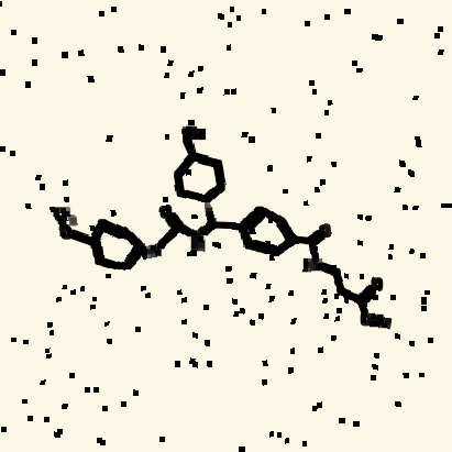 COC(=O)CCNC(=O)c1ccc(C(NC(=O)Nc2ccc(OC(F)(F)F)cc2)[C@H]2CC[C@H](C(C)(C)C)CC2)cc1